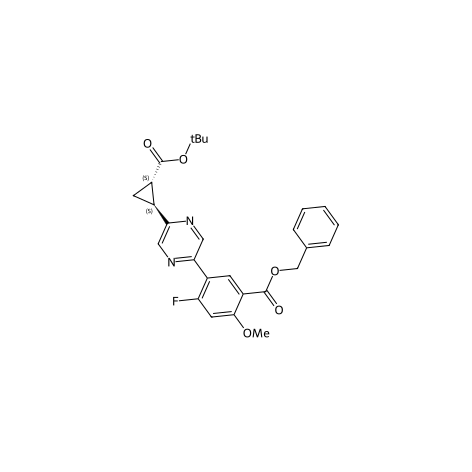 COc1cc(F)c(-c2cnc([C@H]3C[C@@H]3C(=O)OC(C)(C)C)cn2)cc1C(=O)OCc1ccccc1